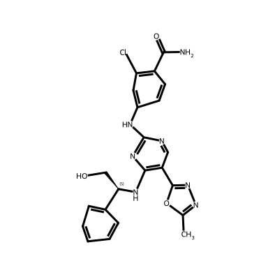 Cc1nnc(-c2cnc(Nc3ccc(C(N)=O)c(Cl)c3)nc2N[C@H](CO)c2ccccc2)o1